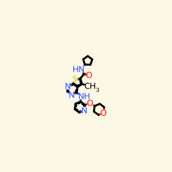 Cc1c(C(=O)NC2CCCC2)sc2ncnc(Nc3cccnc3OC3CCOCC3)c12